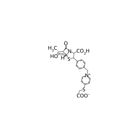 C[C@@H](O)[C@H]1C(=O)N2C(C(=O)O)C(c3ccc(C[n+]4ccc(SCC(=O)[O-])cc4)cc3)S[C@H]12